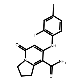 NC(=O)c1c(Nc2ccc(I)cc2F)cc(=O)n2c1CCC2